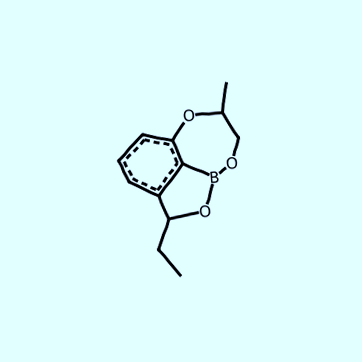 CCC1OB2OCC(C)Oc3cccc1c32